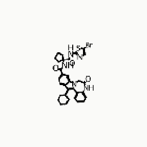 O=C1Cn2c(c(C3CCCCC3)c3ccc(C(=O)NC4(C(=O)Nc5ncc(Br)s5)CCCC4)cc32)-c2ccccc2N1